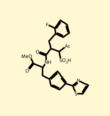 COC(=O)C(Cc1ccc(-c2nccs2)cc1)NC(=O)C(Cc1ccccc1F)C(C(C)=O)S(=O)(=O)O